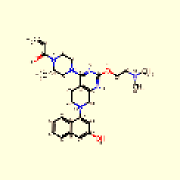 C=CC(=O)N1CCN(c2nc(OCCN(C)C)nc3c2CCN(c2cc(O)cc4ccccc24)C3)C[C@@H]1C